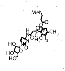 CNCCC(=O)Oc1cc(C)cc(C)c1C(C)(C)CC(=O)Nc1ccn([C@@H]2O[C@H](CO)[C@@H](O)[C@@H]2O)c(=O)n1